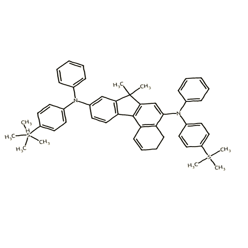 CC1(C)c2cc(N(c3ccccc3)c3ccc([SH](C)(C)(C)C)cc3)ccc2-c2c1cc(N(c1ccccc1)c1ccc(S(C)(C)C)cc1)c1c2C=CCC1